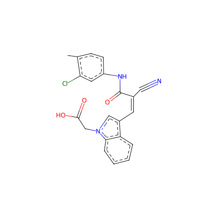 Cc1ccc(NC(=O)C(C#N)=Cc2cn(CC(=O)O)c3ccccc23)cc1Cl